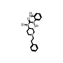 CCN(C(=O)N(S)c1ccccc1N)C1CCN(CCc2ccccc2)CC1